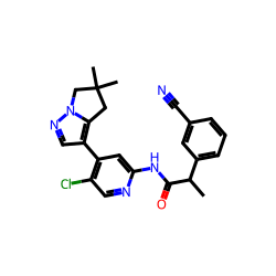 CC(C(=O)Nc1cc(-c2cnn3c2CC(C)(C)C3)c(Cl)cn1)c1cccc(C#N)c1